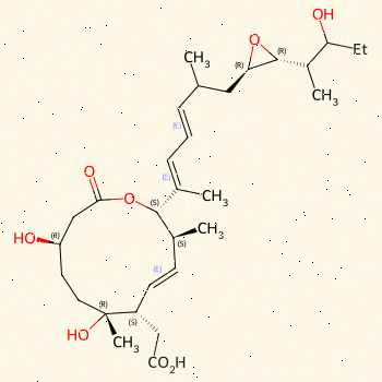 CCC(O)C(C)[C@H]1O[C@@H]1CC(C)/C=C/C=C(\C)[C@H]1OC(=O)C[C@H](O)CC[C@@](C)(O)[C@@H](CC(=O)O)/C=C/[C@@H]1C